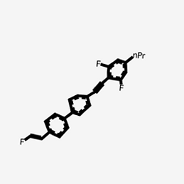 CCCc1cc(F)c(C#Cc2ccc(-c3ccc(C=CF)cc3)cc2)c(F)c1